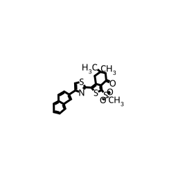 CC1(C)CC(=O)c2c(S(C)(=O)=O)sc(-c3nc(-c4ccc5ccccc5c4)cs3)c2C1